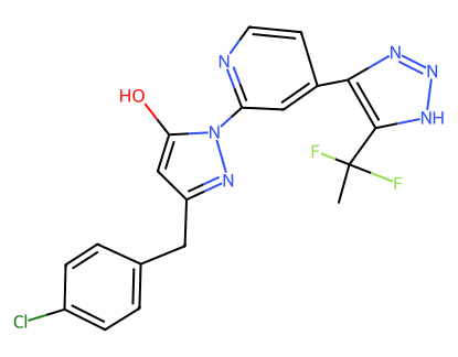 CC(F)(F)c1[nH]nnc1-c1ccnc(-n2nc(Cc3ccc(Cl)cc3)cc2O)c1